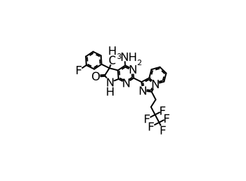 CC1(c2cccc(F)c2)C(=O)Nc2nc(-c3nc(CCC(F)(F)C(F)(F)F)n4ccccc34)nc(N)c21